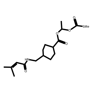 CSC(=O)OC(C)OC(=O)C1CCC(CNC(=O)C=C(C)C)CC1